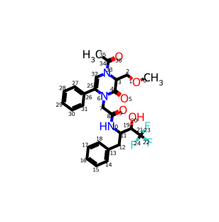 COCC1C(=O)N(CC(=O)NC(Cc2ccccc2)C(O)C(F)(F)F)C(c2ccccc2)=CN1C(C)=O